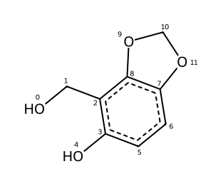 OCc1c(O)ccc2c1OCO2